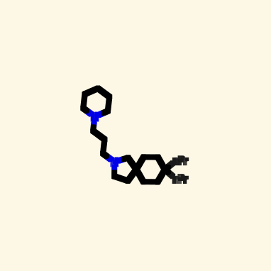 CCCC1(CCC)CCC2(CCN(CCCN3CCCCC3)C2)CC1